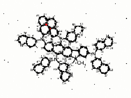 CC1(C)c2cc(N(c3ccc4ccccc4c3)c3ccc4ncccc4c3)ccc2-c2cc3c(N(c4ccc5ccccc5c4)c4ccc5ncccc5c4)c4cc(N(c5ccc6ccccc6c5)c5ccc6ncccc6c5)ccc4c(N(c4ccc5ccccc5c4)c4ccc5ncccc5c4)c3cc21